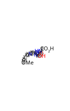 COc1ccc(Cc2ccc(N3CCC(Cc4nc(C)c(O)c(C(=O)NCC(=O)O)n4)CC3)cc2)cc1